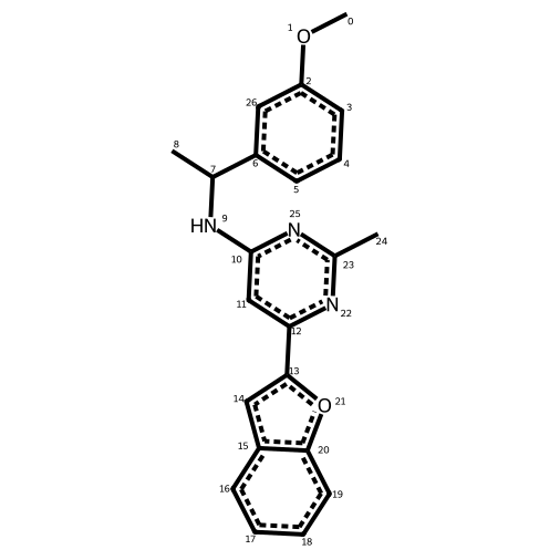 COc1cccc(C(C)Nc2cc(-c3cc4ccccc4o3)nc(C)n2)c1